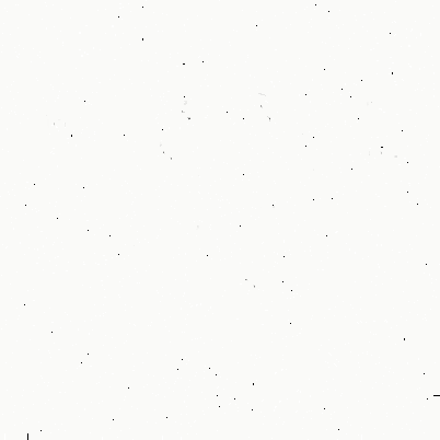 Cc1cc(C)c2c(n1)sc1c(NC3CCOCC3)nn(CCO)c12